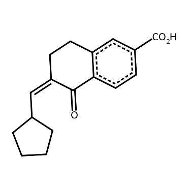 O=C(O)c1ccc2c(c1)CC/C(=C/C1CCCC1)C2=O